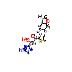 COc1ccc(Cc2ccsc2C(=O)C=C(O)c2nc[nH]n2)cc1